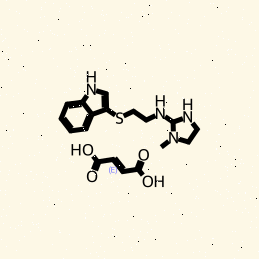 CN1CCNC1NCCSc1c[nH]c2ccccc12.O=C(O)/C=C/C(=O)O